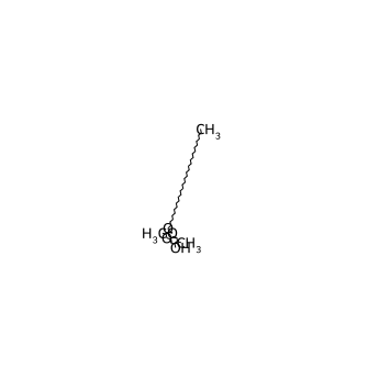 CCCCCCCCCCCCCCCCCCCCCCCCCCCCCCCCOC(=O)C(C)Oc1ccc(C)c(O)c1